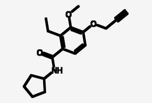 C#CCOc1ccc(C(=O)NC2CCCC2)c(CC)c1OC